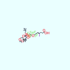 C[C@@H]1C(OS(=O)(=O)C(F)(F)C(F)(F)OC(F)(F)C(F)(F)C=C(I)CCC(=O)O)[C@H](OCC[Si](C)(C)C)OC2COC(C)(C)O[C@H]21